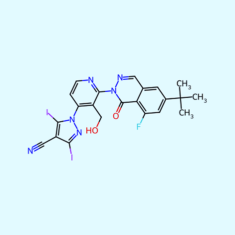 CC(C)(C)c1cc(F)c2c(=O)n(-c3nccc(-n4nc(I)c(C#N)c4I)c3CO)ncc2c1